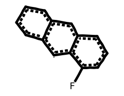 Fc1cccc2cc3ccccc3[c]c12